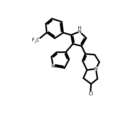 FC(F)(F)c1cccc(-c2[nH]cc(C3=CC4CC(Cl)CN4CC3)c2-c2ccncc2)c1